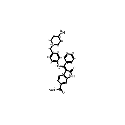 COC(=O)c1ccc2c(c1)NC(=O)C2=C(Nc1ccc(CN2CCC(O)CC2)cc1)c1ccccc1